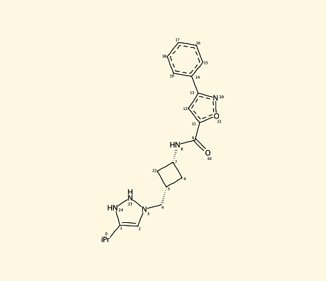 CC(C)C1=CN(C[C@H]2C[C@@H](NC(=O)c3cc(-c4ccccc4)no3)C2)NN1